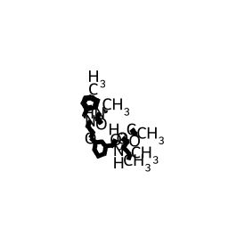 C=C(C)OC(=O)[C@@H](NC(=O)C1CCCC(OCCN(Cc2ccc(C)cc2)C(=O)NCC)C1)C(C)C